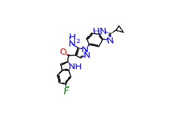 Nc1c(C(=O)c2cc3ccc(F)cc3[nH]2)cnn1-c1ccc2[nH]c(C3CC3)nc2c1